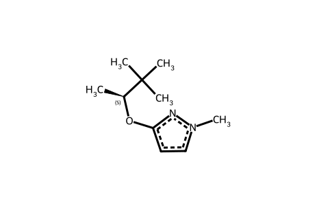 C[C@H](Oc1ccn(C)n1)C(C)(C)C